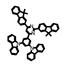 CC1(C)c2ccccc2-c2ccc(-c3cc(-c4cc(-n5c6ccccc6c6ccccc65)cc(-n5c6ccccc6c6ccccc65)c4)nc(-c4ccc5c(c4)C(C)(C)c4ccccc4-5)n3)cc21